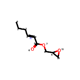 CCC/C=C/C(=O)OCC1CO1